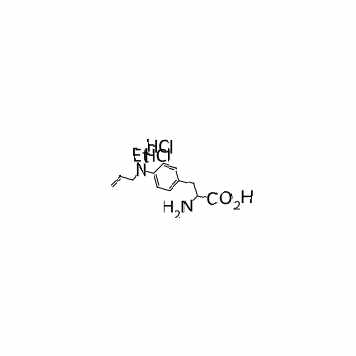 C=CCN(CC)c1ccc(CC(N)C(=O)O)cc1.Cl.Cl